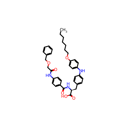 CCCCCCCOc1ccc(Nc2ccc(C[C@H](NC(=O)c3ccc(NC(=O)COCc4ccccc4)cc3)C(=O)O)cc2)cc1